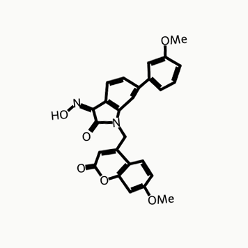 COc1cccc(-c2ccc3c(c2)N(Cc2cc(=O)oc4cc(OC)ccc24)C(=O)/C3=N\O)c1